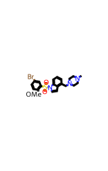 COc1ccc(Br)cc1S(=O)(=O)n1ccc2c(CN3CCN(C)CC3)cccc21